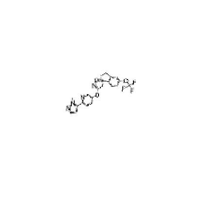 Cn1nccc1-c1ccc(OC2=NO[C@]3(CCc4cc(OC(F)(F)F)ccc43)C2)cn1